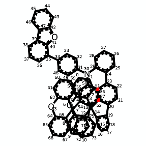 c1ccc2c(c1)Oc1ccccc1C21c2ccccc2-c2ccc(-c3ccccc3N(c3ccc(-c4cccc5c4oc4ccccc45)cc3)c3ccc4c(c3)C3(c5ccccc5Oc5ccccc53)c3ccccc3-4)cc21